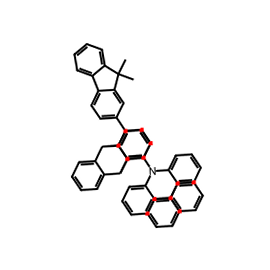 CC1(C)c2ccccc2-c2ccc(-c3ccc(N(c4ccccc4-c4ccccc4)c4ccccc4-c4ccccc4)c4c3C3c5ccccc5C4c4ccccc43)cc21